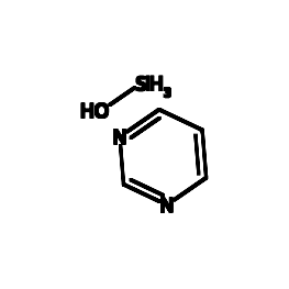 O[SiH3].c1cncnc1